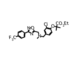 CCOC(=O)C(C)(C)Oc1ccc(CN(C)Cc2nc(-c3ccc(C(F)(F)F)cc3)no2)cc1Cl